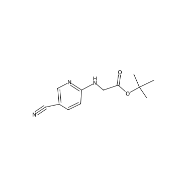 CC(C)(C)OC(=O)CNc1ccc(C#N)cn1